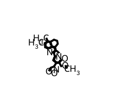 COCc1c(C(C=O)N=O)cc2n(c1=O)Cc1c-2nc2cc(C)c(C)c3c2c1CCC3